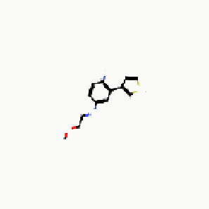 COCCNc1ccc(N)c(-c2ccsc2)c1